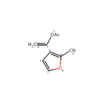 C=COC(C)=O.N#Cc1ccco1